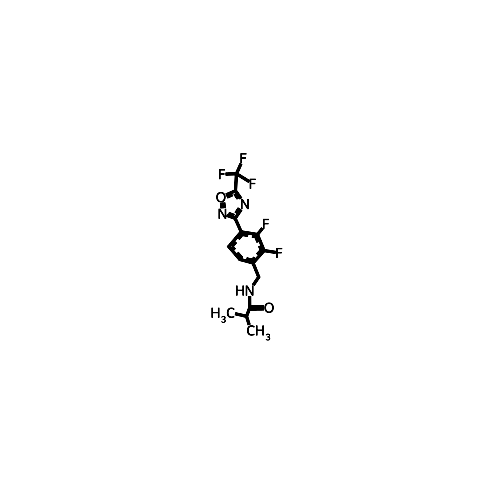 CC(C)C(=O)NCc1ccc(-c2noc(C(F)(F)F)n2)c(F)c1F